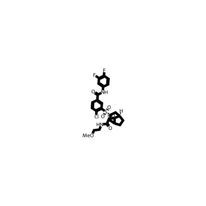 COCCNC(=O)C[C@]1(O)C2CC[C@@H]1C[C@@H](S(=O)(=O)c1cc(C(=O)Nc3ccc(F)c(F)c3)ccc1Cl)C2